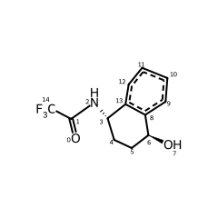 O=C(N[C@H]1CC[C@H](O)c2ccccc21)C(F)(F)F